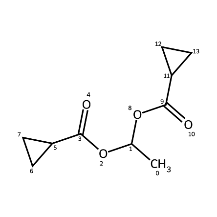 CC(OC(=O)C1CC1)OC(=O)C1CC1